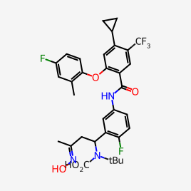 CC(CC(c1cc(NC(=O)c2cc(C(F)(F)F)c(C3CC3)cc2Oc2ccc(F)cc2C)ccc1F)N(C(=O)O)C(C)(C)C)=NO